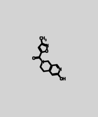 Cc1cc(C(=O)N2CCc3cc(O)ncc3C2)on1